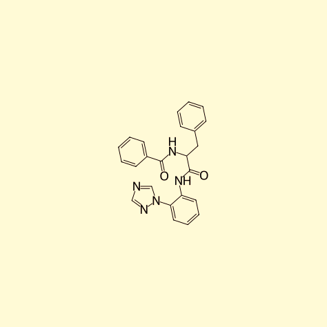 O=C(NC(Cc1ccccc1)C(=O)Nc1ccccc1-n1cncn1)c1ccccc1